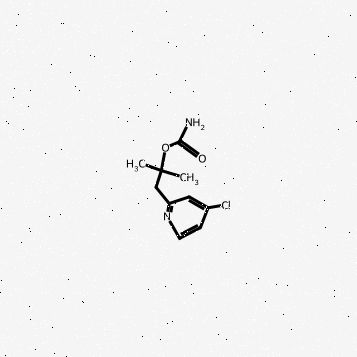 CC(C)(Cc1cc(Cl)ccn1)OC(N)=O